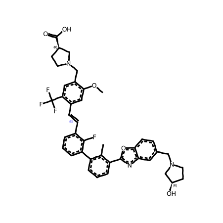 COc1cc(/C=C/c2cccc(-c3cccc(-c4nc5cc(CN6CC[C@@H](O)C6)ccc5o4)c3C)c2F)c(C(F)(F)F)cc1CN1CC[C@@H](C(=O)O)C1